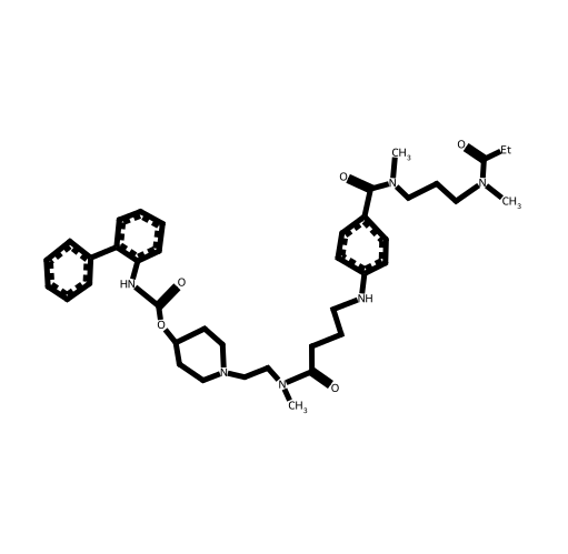 CCC(=O)N(C)CCCN(C)C(=O)c1ccc(NCCCC(=O)N(C)CCN2CCC(OC(=O)Nc3ccccc3-c3ccccc3)CC2)cc1